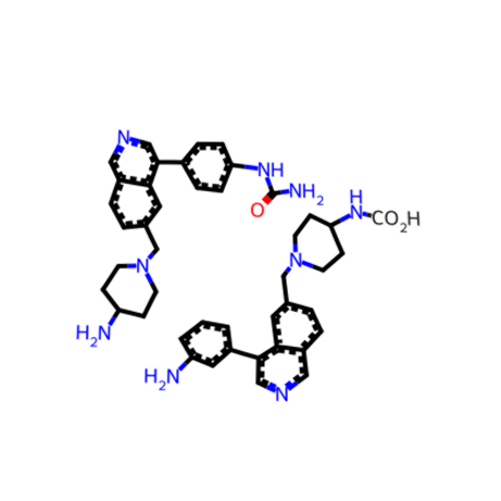 NC(=O)Nc1ccc(-c2cncc3ccc(CN4CCC(N)CC4)cc23)cc1.Nc1cccc(-c2cncc3ccc(CN4CCC(NC(=O)O)CC4)cc23)c1